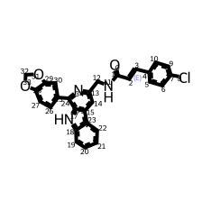 O=C(/C=C/c1ccc(Cl)cc1)NCc1cc2c([nH]c3ccccc32)c(-c2ccc3c(c2)OCO3)n1